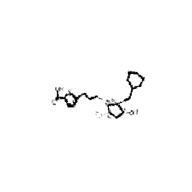 O=C(O)c1ccc(CCC[C@@H]2[C@H](C=CC3CCCCC3)[C@H](O)C[C@@H]2Cl)s1